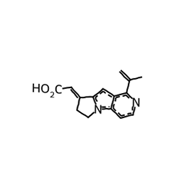 C=C(C)c1nccc2c1cc1n2CC/C1=C\C(=O)O